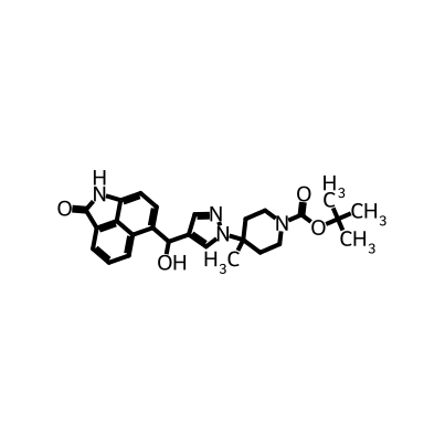 CC(C)(C)OC(=O)N1CCC(C)(n2cc(C(O)c3ccc4c5c(cccc35)C(=O)N4)cn2)CC1